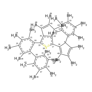 BC1=C(B)C(c2c(B)c(B)c(B)c(B)c2B)C(c2sc(-c3c(B)c(B)c(B)c(B)c3-c3c(B)c(B)c(B)c(B)c3C)c3c2C(B)C(B)=C3B)=C1B